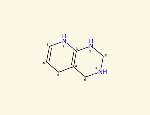 C1=CNC2=C(C1)CNCN2